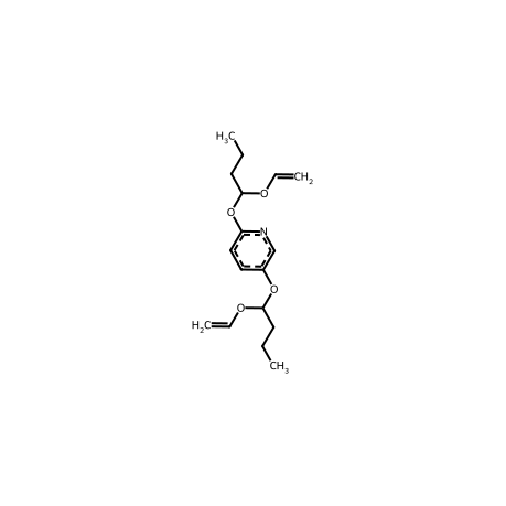 C=COC(CCC)Oc1ccc(OC(CCC)OC=C)nc1